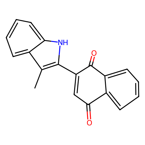 Cc1c(C2=CC(=O)c3ccccc3C2=O)[nH]c2ccccc12